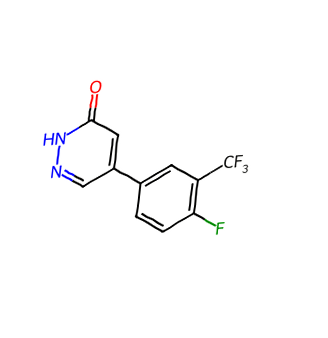 O=c1cc(-c2ccc(F)c(C(F)(F)F)c2)cn[nH]1